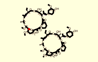 CC[C@@H]1/C=C(\C)C[C@H](C)C[C@H](OC)[C@H]2O[C@@](O)(C(=O)C(=O)N3CCCC[C@H]3C(=O)O[C@H](/C(C)=C/[C@@H]3CC[C@@H](O)[C@H](OC)C3)[C@H](C)[C@@H](O)CC1=O)[C@H](C)C[C@@H]2OC.CC[C@@H]1/C=C(\C)C[C@H](C)C[C@H](OC)[C@H]2O[C@@](O)(C(=O)C(=O)N3CCCC[C@H]3C(=O)O[C@H](/C(C)=C/[C@@H]3CC[C@@H](O)[C@H](OC)C3)[C@H](C)[C@@H](O)CC1=O)[C@H](C)C[C@@H]2OC